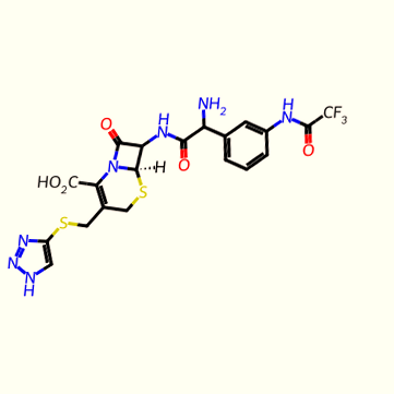 NC(C(=O)NC1C(=O)N2C(C(=O)O)=C(CSc3c[nH]nn3)CS[C@H]12)c1cccc(NC(=O)C(F)(F)F)c1